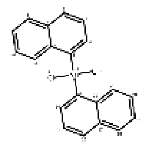 [Cl][Sn]([Cl])([c]1cccc2ccccc12)[c]1cccc2ccccc12